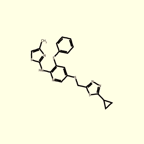 Cc1csc(Nc2ncc(SCc3nnc(C4CC4)s3)cc2Sc2ccccc2)n1